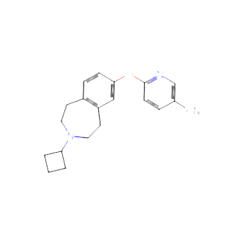 N#Cc1ccc(Oc2ccc3c(c2)CCN(C2CCC2)CC3)nc1